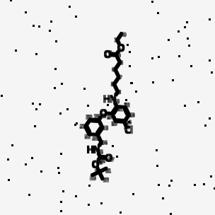 CCOC(=O)CCCCCNc1ccc(Cl)cc1Oc1cccc(CNC(=O)OC(C)(C)C)c1